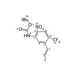 CC=Cc1cc(NC(=O)OC(C)(C)C)c([N+](=O)[O-])cc1C(F)(F)F